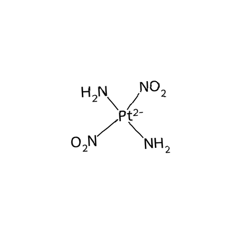 [NH2][Pt-2]([NH2])([N+](=O)[O-])[N+](=O)[O-]